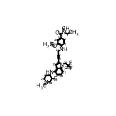 CCN(C)C(=O)c1ccc(NCC#Cc2cc3c(N[C@@H]4CCN(C)C[C@@H]4F)cccc3n2CC(F)(F)F)c(OC)c1